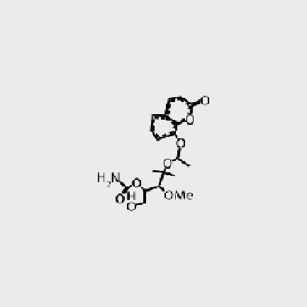 COC(C(CO)OC(N)=O)C(C)(C)OC(C)Oc1cccc2ccc(=O)oc12